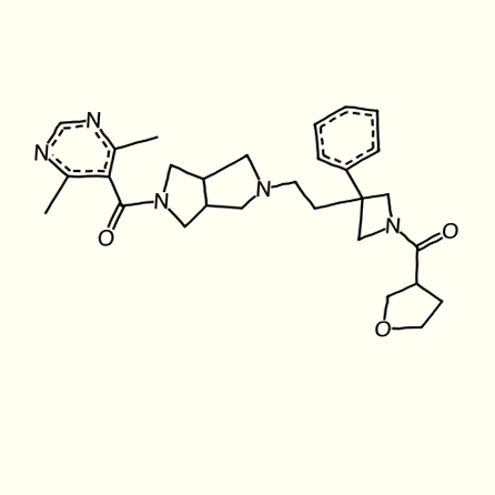 Cc1ncnc(C)c1C(=O)N1CC2CN(CCC3(c4ccccc4)CN(C(=O)C4CCOC4)C3)CC2C1